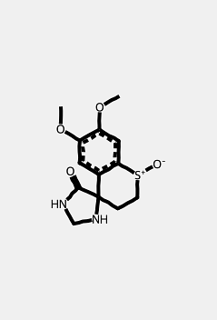 COc1cc2c(cc1OC)C1(CC[S+]2[O-])NCNC1=O